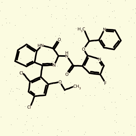 CCOc1cc(Cl)cc(Cl)c1C1=NC(NC(=O)c2cc(F)cnc2OC(C)c2ccccn2)C(=O)Nc2ccccc21